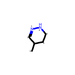 CC1C=NNCC1